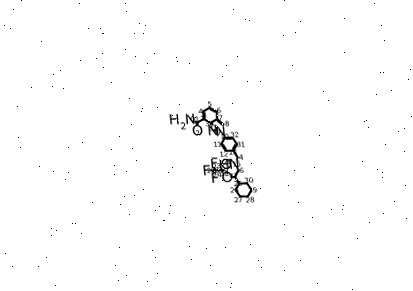 NC(=O)c1cccc2cn(-c3ccc(CNCC(OC(=O)C(F)(F)F)C4CCCCC4)cc3)nc12